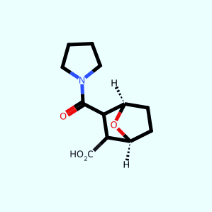 O=C(O)C1C(C(=O)N2CCCC2)[C@H]2CC[C@@H]1O2